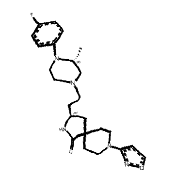 C[C@@H]1CN(CC[C@H]2CC3(CCN(c4ccon4)CC3)C(=O)N2)CCN1c1ccc(F)cc1